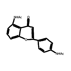 CC(=O)Nc1ccc(-c2cc(=O)c3c(NC(C)=O)cccc3o2)cc1